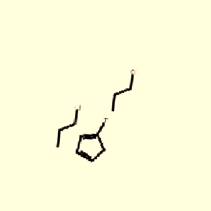 CCCCl.CCCCl.[Ti][C]1=CC=CC1